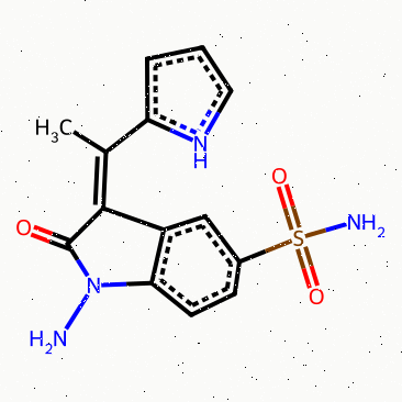 CC(=C1C(=O)N(N)c2ccc(S(N)(=O)=O)cc21)c1ccc[nH]1